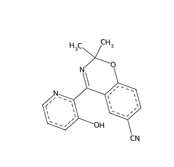 CC1(C)N=C(c2ncccc2O)c2cc(C#N)ccc2O1